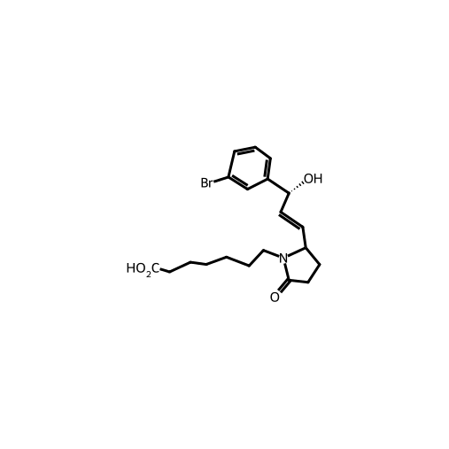 O=C(O)CCCCCCN1C(=O)CCC1/C=C/[C@@H](O)c1cccc(Br)c1